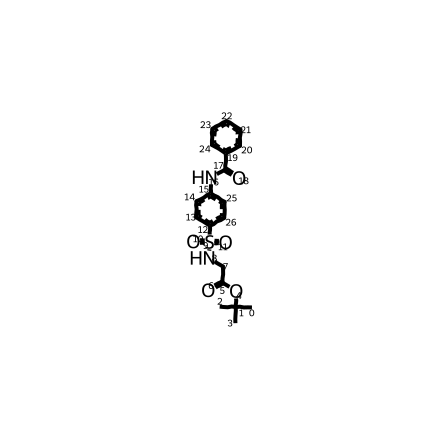 CC(C)(C)OC(=O)CNS(=O)(=O)c1ccc(NC(=O)c2ccccc2)cc1